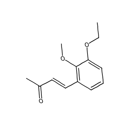 CCOc1cccc(C=CC(C)=O)c1OC